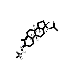 CC(=O)O[C@@]1(C)CC[C@H]2[C@@H]3CCC4=C(F)/C(=N/NS(C)(=O)=O)CC[C@]4(C)[C@H]3CC[C@@]21C